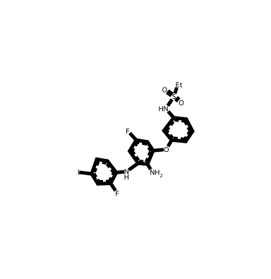 CCS(=O)(=O)Nc1cccc(Oc2cc(F)cc(Nc3ccc(I)cc3F)c2N)c1